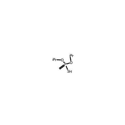 C=P(S)(OC(C)C)OC(C)C